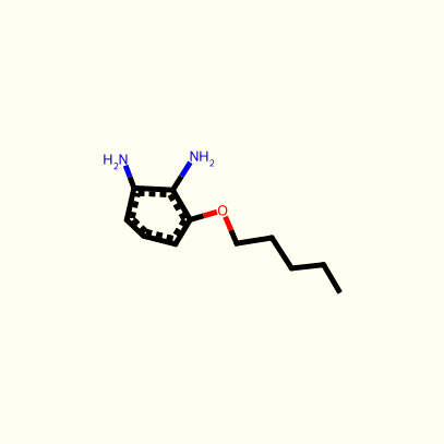 CCCCCOc1cccc(N)c1N